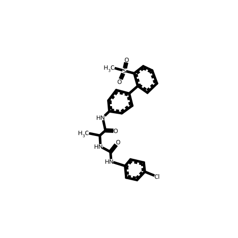 CC(NC(=O)Nc1ccc(Cl)cc1)C(=O)Nc1ccc(-c2ccccc2S(C)(=O)=O)cc1